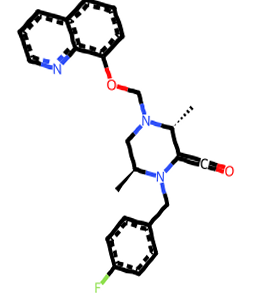 C[C@@H]1C(=C=O)N(Cc2ccc(F)cc2)[C@@H](C)CN1COc1cccc2cccnc12